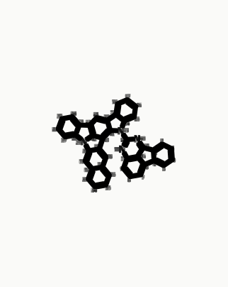 c1ccc2c(c1)-c1cccc3nc(-n4c5ccccc5c5cc6c7ccccc7n7c8cc9ccccc9cc8c(c54)c67)nc-2c13